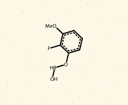 COc1cccc(OBO)c1F